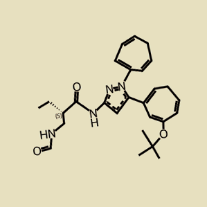 CC[C@@H](CNC=O)C(=O)Nc1cc(C2=CCC=CC(OC(C)(C)C)=C2)n(C2=CC=CCC=C2)n1